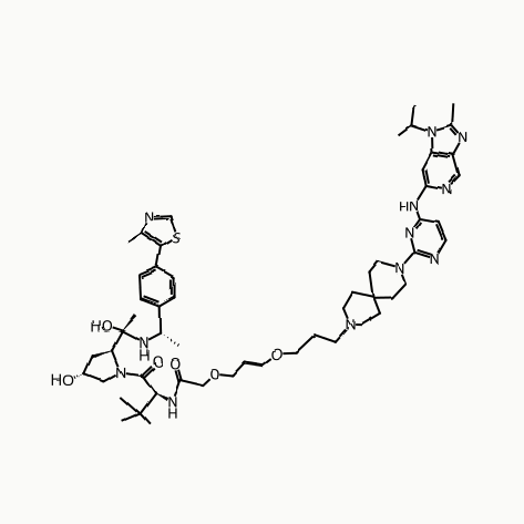 Cc1ncsc1-c1ccc([C@H](C)N[C@@](C)(O)[C@@H]2C[C@@H](O)CN2C(=O)[C@@H](NC(=O)COCCCOCCCN2CCC3(CC2)CCN(c2nccc(Nc4cc5c(cn4)nc(C)n5C(C)C)n2)CC3)C(C)(C)C)cc1